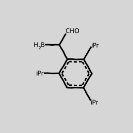 BC(C=O)c1c(C(C)C)cc(C(C)C)cc1C(C)C